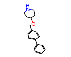 c1ccc(-c2ccc(COC3CCNCC3)cc2)cc1